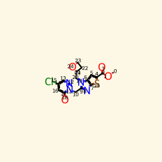 COC(=O)c1cc2c(nc(Cn3ncc(Cl)cc3=O)n2C[C@@H]2CCO2)s1